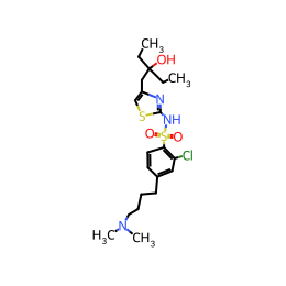 CCC(O)(CC)Cc1csc(NS(=O)(=O)c2ccc(CCCCN(C)C)cc2Cl)n1